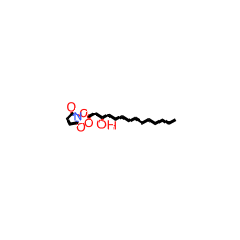 CCCCCCCCCCCC(O)CC(=O)ON1C(=O)CCC1=O